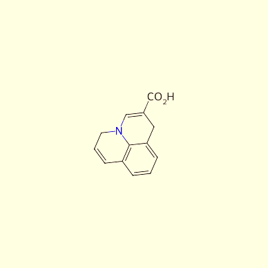 O=C(O)C1=CN2CC=Cc3cccc(c32)C1